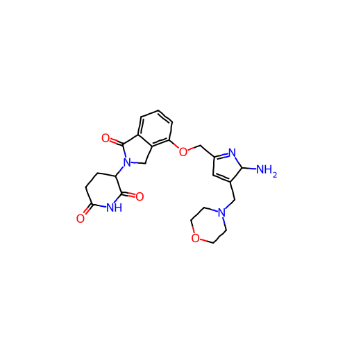 NC1N=C(COc2cccc3c2CN(C2CCC(=O)NC2=O)C3=O)C=C1CN1CCOCC1